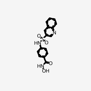 O=C(NO)c1ccc(NS(=O)(=O)c2cnc3ccccc3c2)cc1